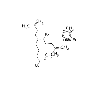 C=CC(CC)CCCC(CCC(=C)C)=C(CC)CCC(=C)C.C=CCCCC.CC=CCC